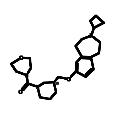 O=C(N1CCOCC1)N1CCC[C@H](COc2ccc3c(c2)CCN(C2CCC2)CC3)C1